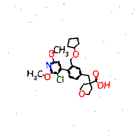 COc1cc(-c2ccc(CC3(C(=O)O)CCOCC3)cc2COC2CCCC2)c(Cl)c(OC)n1